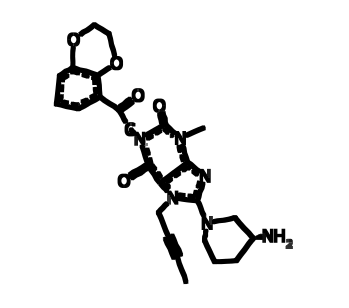 CC#CCn1c(N2CCC[C@H](N)C2)nc2c1c(=O)n(CC(=O)c1cccc3c1OCCO3)c(=O)n2C